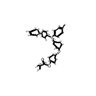 Cc1ccc(N(c2ccc(Oc3ccc(OC(=O)C(C)C)cc3)cc2)c2ccc(-c3ccccc3)cc2)cc1